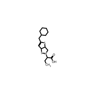 CCC(C(=O)O)N1CC2SC(CC3CCCCC3)=CC2S1